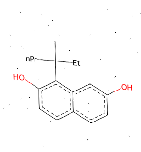 CCCC(C)(CC)c1c(O)ccc2ccc(O)cc12